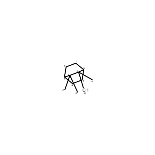 CC1(C)C2CCC(CC2)C1(C)O